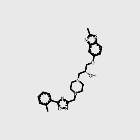 Cc1nc2cc(OC[C@H](O)CN3CCN(Cc4noc(-c5ccccc5C)n4)CC3)ccc2s1